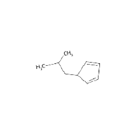 CC(C)CC1C=CC=C1